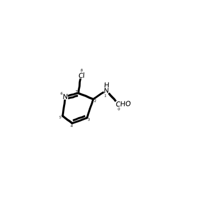 O=CNC1C=CCN=C1Cl